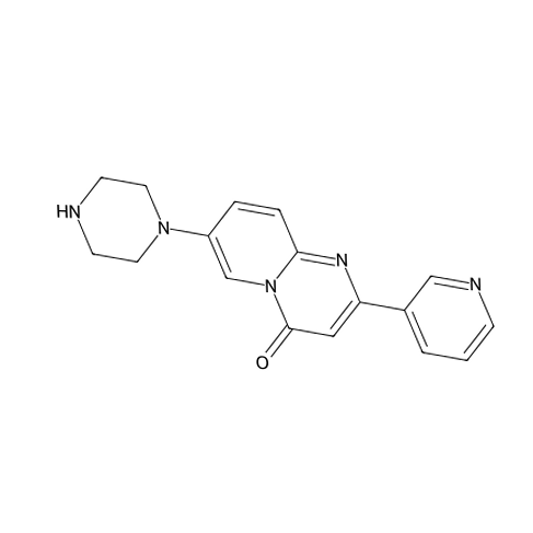 O=c1cc(-c2cccnc2)nc2ccc(N3CCNCC3)cn12